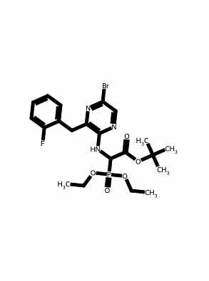 CCOP(=O)(OCC)C(Nc1ncc(Br)nc1Cc1ccccc1F)C(=O)OC(C)(C)C